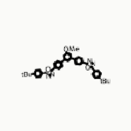 COc1cc(-c2ccc(-c3nnc(-c4ccc(C(C)(C)C)cc4)o3)cc2)cc(-c2ccc(-c3nnc(-c4ccc(C(C)(C)C)cc4)o3)cc2)c1